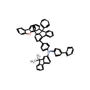 CC1(C)c2ccccc2-c2ccc(N(c3ccc(-c4ccccc4)cc3)c3ccc(-c4ccc(-c5cccc6c5oc5ccccc56)c5c4-c4ccccc4C5(C4=CC=CCC#C4)C4C=CC=CC4)cc3)cc21